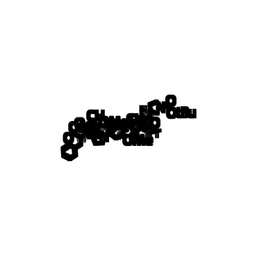 CC[C@H](C)[C@@H]([C@@H](CC(=O)N1CCC[C@H]1[C@H](OC)[C@@H](C)C(=O)N[C@@H](Cc1ccccc1)C(=O)OC)OC)N(C)C(=O)[C@@H](NC(=O)[C@@]1(F)CCN(C(=O)OC(C)(C)C)C1)C(C)C